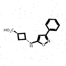 O=C(O)[C@H]1C[C@H](Nc2cc(-c3ccccc3)no2)C1